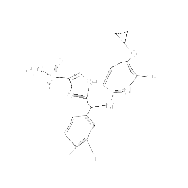 Cc1nc(NC(c2ccc(F)c(F)c2)c2nc(S(N)(=O)=O)c[nH]2)ccc1OC1CC1